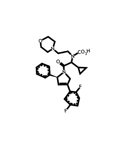 O=C(O)N(CCN1CCOCC1)C(C(=O)N1CC(c2cc(F)ccc2F)=C[C@H]1c1ccccc1)C1CC1